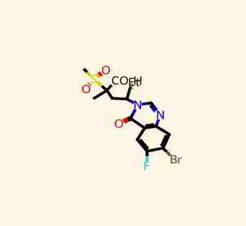 CCC(CC(C)(C(=O)O)S(C)(=O)=O)n1cnc2cc(Br)c(F)cc2c1=O